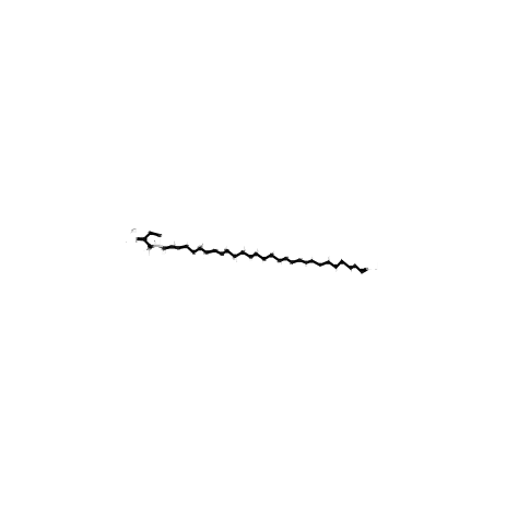 C=CCCCCCCCCCCCCCCCCCCCCCCCCCCCCN1CCC(C=C)C1=O